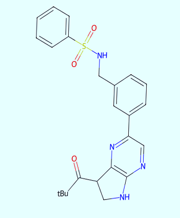 CC(C)(C)C(=O)C1CNc2ncc(-c3cccc(CNS(=O)(=O)c4ccccc4)c3)nc21